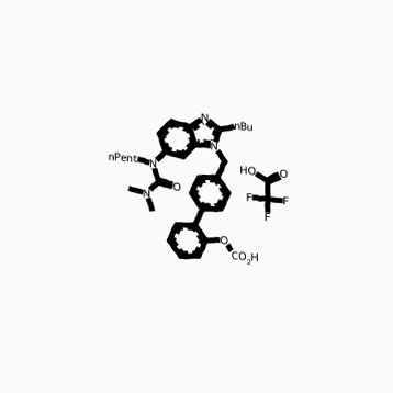 CCCCCN(C(=O)N(C)C)c1ccc2nc(CCCC)n(Cc3ccc(-c4ccccc4OC(=O)O)cc3)c2c1.O=C(O)C(F)(F)F